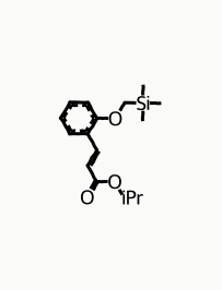 CC(C)OC(=O)C=Cc1ccccc1OC[Si](C)(C)C